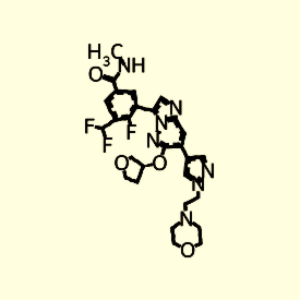 CNC(=O)c1cc(-c2cnc3cc(-c4cnn(CCN5CCOCC5)c4)c(O[C@H]4CCOC4)nn23)c(F)c(C(F)F)c1